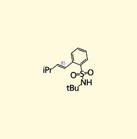 CC(C)/C=C/c1ccccc1S(=O)(=O)NC(C)(C)C